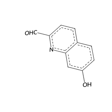 O=Cc1ccc2ccc(O)cc2n1